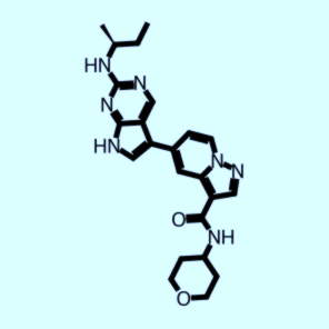 CC[C@H](C)Nc1ncc2c(-c3ccn4ncc(C(=O)NC5CCOCC5)c4c3)c[nH]c2n1